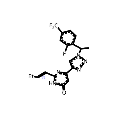 CC/C=C/c1nc(-c2cn(C(C)c3ccc(C(F)(F)F)cc3F)nn2)cc(=O)[nH]1